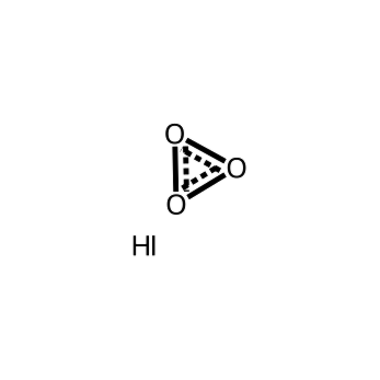 I.o1oo1